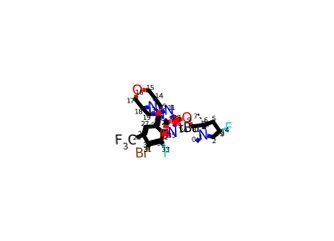 CN1C[C@H](F)C[C@]1(C)COc1nc(N2C3COCC2CN(C(=O)OC(C)(C)C)C3)c2cc(C(F)(F)F)c(Br)c(F)c2n1